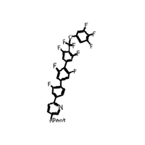 CCCCCc1ccc(-c2ccc(-c3cc(F)c(-c4cc(F)c(C(F)(F)Oc5cc(F)c(F)c(F)c5)c(F)c4)c(F)c3)c(F)c2)nc1